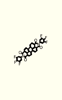 O=C1c2ccc3c4ccc5c6c(ccc(c7ccc(c2c37)C(=O)N1c1cc(F)c(F)c(F)c1)c64)C(=O)N(c1cc(F)c(F)c(F)c1)C5=O